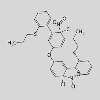 CCCSc1ccccc1C1=CC(OC2C=CC(Cl)([N+](=O)[O-])C(c3ccccc3SCCC)=C2)C=CC1(Cl)[N+](=O)[O-]